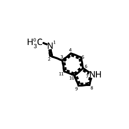 C/N=C/c1ccc2[nH]ccc2c1